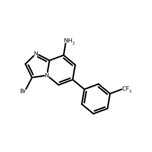 Nc1cc(-c2cccc(C(F)(F)F)c2)cn2c(Br)cnc12